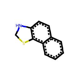 c1ccc2c3c(ccc2c1)NCS3